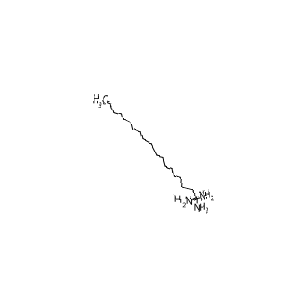 CCCCCCCCCCCCCCCCCCC(N)(N)N